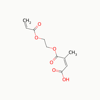 C=CC(=O)OCCOC(=O)/C(C)=C\C(=O)O